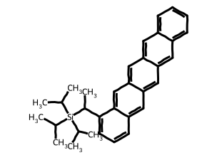 CC(C)[Si](C(C)C)(C(C)C)C(C)c1cccc2cc3cc4cc5ccccc5cc4cc3cc12